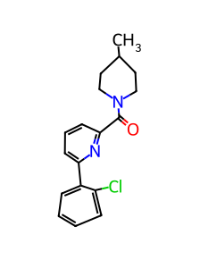 CC1CCN(C(=O)c2cccc(-c3ccccc3Cl)n2)CC1